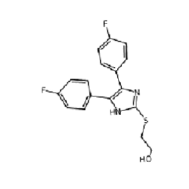 OCCSc1nc(-c2ccc(F)cc2)c(-c2ccc(F)cc2)[nH]1